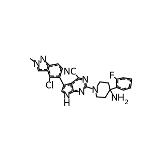 Cn1cc2c(Cl)c(-c3c[nH]c4nc(N5CCC(N)(c6ccccc6F)CC5)nc(C#N)c34)ccc2n1